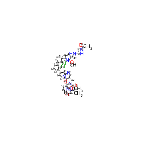 COc1nc(-c2cccc(-c3cccc(-c4ccn5c(=O)c(CN(C[C@@H]6CCC(=O)N6)C(=O)OC(C)(C)C)cnc5c4)c3Cl)c2Cl)ccc1CNCCNC(C)=O